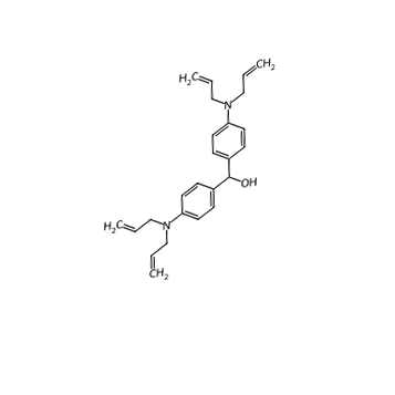 C=CCN(CC=C)c1ccc(C(O)c2ccc(N(CC=C)CC=C)cc2)cc1